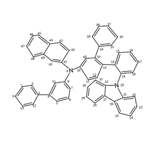 c1ccc(-c2cccc(N(c3ccc(-c4ccccc4-n4c5ccccc5c5ccccc54)c(-c4ccccc4)c3)c3ccc4ccccc4c3)c2)cc1